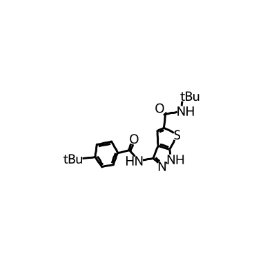 CC(C)(C)NC(=O)c1cc2c(NC(=O)c3ccc(C(C)(C)C)cc3)n[nH]c2s1